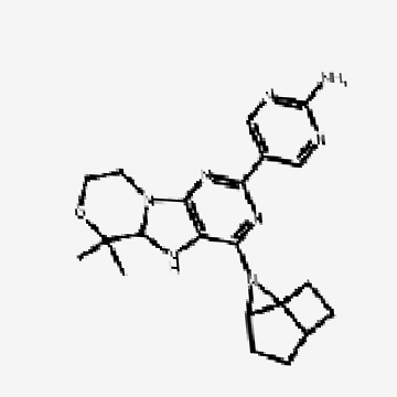 CC1(C)OCCN2c3nc(-c4cnc(N)nc4)nc(N4C5CCC6CCC654)c3NC21